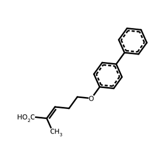 CC(=CCCOc1ccc(-c2ccccc2)cc1)C(=O)O